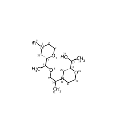 CC(C)N1CCO[C@H]([C@H](C)OCC(C)N2CCO[C@@H]([C@H](C)O)C2)C1